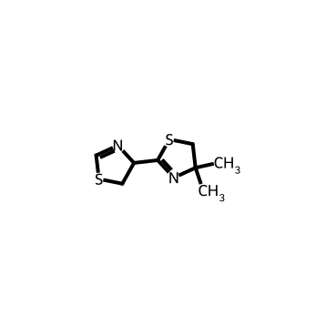 CC1(C)CSC(C2CSC=N2)=N1